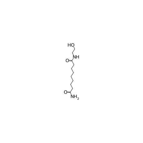 NC(=O)CCCCCCCC(=O)NCCO